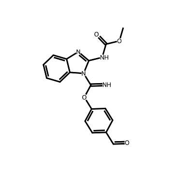 COC(=O)Nc1nc2ccccc2n1C(=N)Oc1ccc(C=O)cc1